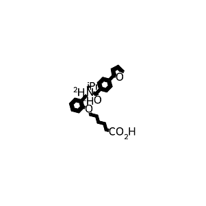 [2H]C([2H])(c1ccccc1OCCCCCC(=O)O)N(C(=O)c1ccc(-c2ccco2)cc1)C(C)C